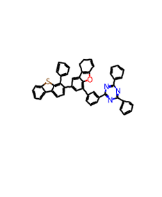 C1=Cc2oc3c(-c4cccc(-c5nc(-c6ccccc6)nc(-c6ccccc6)n5)c4)cc(-c4ccc5c(sc6ccccc65)c4-c4ccccc4)cc3c2CC1